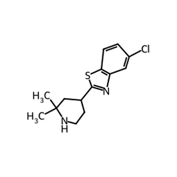 CC1(C)CC(c2nc3cc(Cl)ccc3s2)CCN1